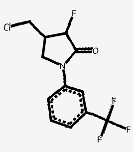 O=C1C(F)C(CCl)CN1c1cccc(C(F)(F)F)c1